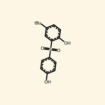 CC(C)(C)c1ccc(O)c(S(=O)(=O)c2ccc(O)cc2)c1